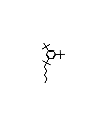 CCCCCC(C)(C)c1cc(C(C)(C)C)[c]c(C(C)(C)C)c1